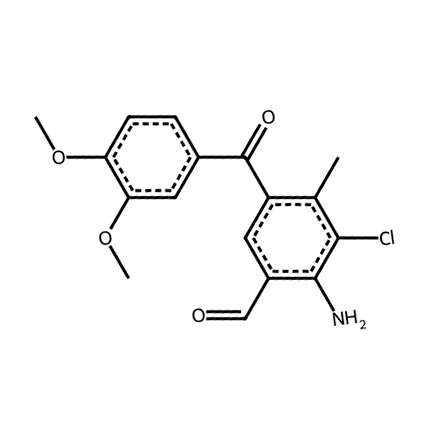 COc1ccc(C(=O)c2cc(C=O)c(N)c(Cl)c2C)cc1OC